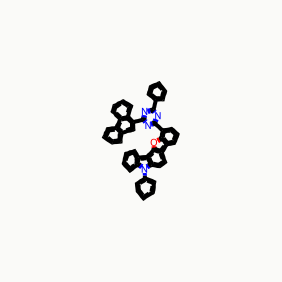 c1ccc(-c2nc(-c3cc4ccccc4c4ccccc34)nc(-c3cccc4c3oc3c4ccc4c3c3ccccc3n4-c3ccccc3)n2)cc1